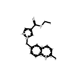 CCOC(=O)c1cnn(Cc2ccc3nc(C)ccc3c2)c1